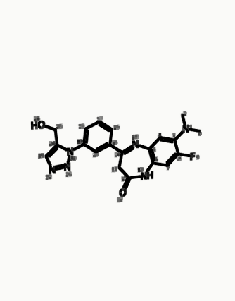 CN(C)c1cc2c(cc1F)NC(=O)CC(c1cccc(-n3nncc3CO)c1)=N2